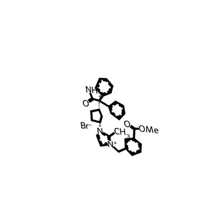 COC(=O)c1cccc(C[n+]2ccn([C@@H]3CC[C@H](C(C(N)=O)(c4ccccc4)c4ccccc4)C3)c2C)c1.[Br-]